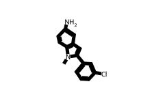 Cn1c(-c2cccc(Cl)c2)cc2cc(N)ccc21